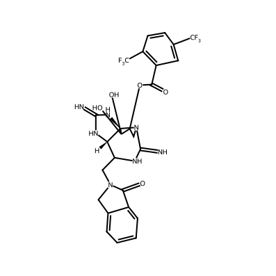 N=C1N[C@H]2C(CN3Cc4ccccc4C3=O)NC(=N)N3CC(OC(=O)c4cc(C(F)(F)F)ccc4C(F)(F)F)C(O)(O)[C@]23N1